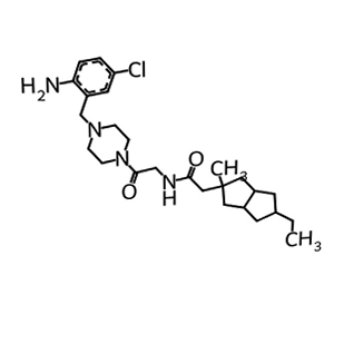 CCC1CC2CC(C)(CC(=O)NCC(=O)N3CCN(Cc4cc(Cl)ccc4N)CC3)CC2C1